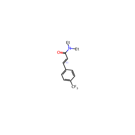 CCN(CC)C(=O)/C=C/c1ccc(C(F)(F)F)cc1